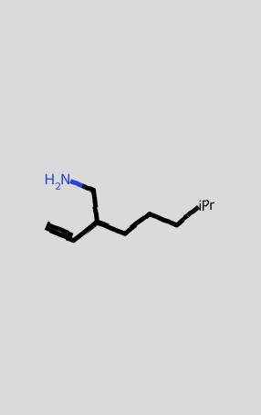 C=CC(CN)CCCC(C)C